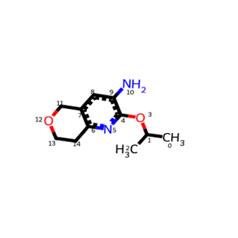 CC(C)Oc1nc2c(cc1N)COCC2